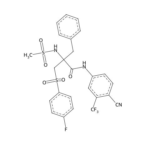 CS(=O)(=O)NC(Cc1ccccc1)(CS(=O)(=O)c1ccc(F)cc1)C(=O)Nc1ccc(C#N)c(C(F)(F)F)c1